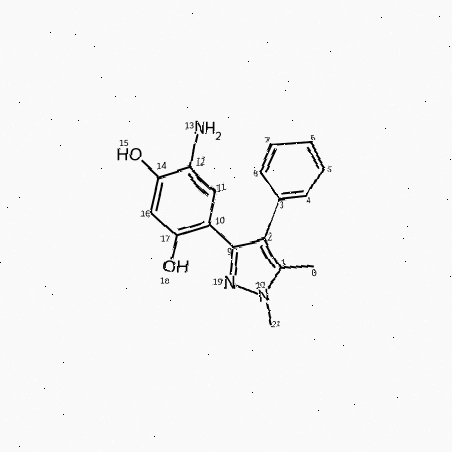 Cc1c(-c2ccccc2)c(-c2cc(N)c(O)cc2O)nn1C